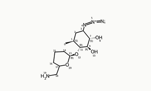 C[C@H]1CC(N=[N+]=[N-])[C@H](O)[C@@H](O)[C@@H]1O[C@@H]1CCCC(CN)O1